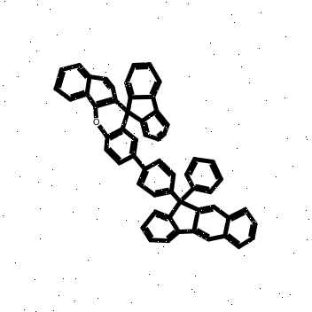 c1ccc(C2(c3ccc(-c4ccc5c(c4)C4(c6ccccc6-c6ccccc64)c4ccc6ccccc6c4O5)cc3)c3ccccc3-c3cc4ccccc4cc32)cc1